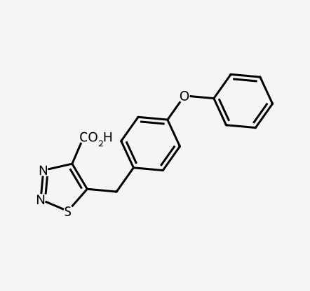 O=C(O)c1nnsc1Cc1ccc(Oc2ccccc2)cc1